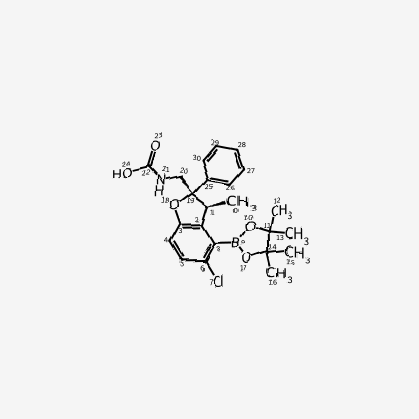 C[C@H]1c2c(ccc(Cl)c2B2OC(C)(C)C(C)(C)O2)O[C@]1(CNC(=O)O)c1ccccc1